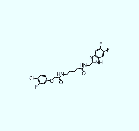 O=C(CCCCNC(=O)COc1ccc(Cl)c(F)c1)NCc1nc2cc(F)c(F)cc2[nH]1